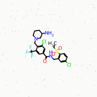 CCS(=O)(=O)c1ccc(Cl)cc1CNC(=O)c1cc(Cl)c(CN2CCCC(N)C2)c(C(F)(F)F)c1